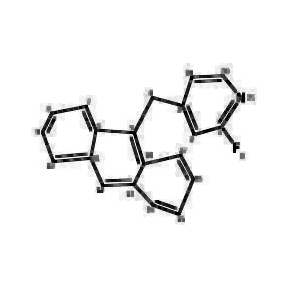 Fc1cc(Cc2c3ccccc3cc3ccccc23)ccn1